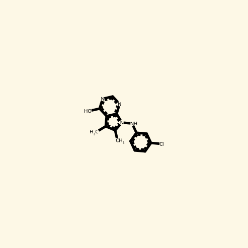 Cc1c(C)n(Nc2cccc(Cl)c2)c2ncnc(O)c12